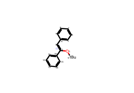 CC(C)(C)O/C(=C\c1ccccc1)c1ccccc1